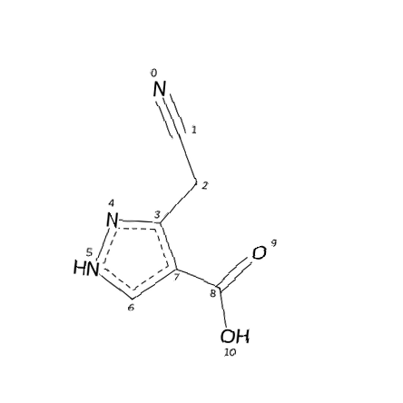 N#CCc1n[nH]cc1C(=O)O